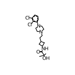 CC(C)(O)C(=O)NC1CC(CCN2CCN(c3cccc(Cl)c3Cl)CC2)C1